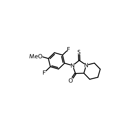 COc1cc(F)c(N2C(=O)C3CCCCN3C2=S)cc1F